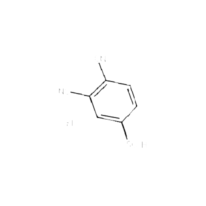 N#Cc1ccc(S(=O)(=O)O)cc1C#N.[KH]